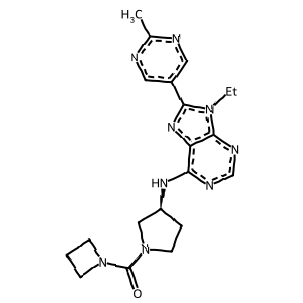 CCn1c(-c2cnc(C)nc2)nc2c(N[C@H]3CCN(C(=O)N4CCC4)C3)ncnc21